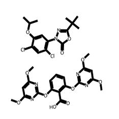 CC(C)Oc1cc(-n2nc(C(C)(C)C)oc2=O)c(Cl)cc1Cl.COc1cc(OC)nc(Oc2cccc(Oc3nc(OC)cc(OC)n3)c2C(=O)O)n1